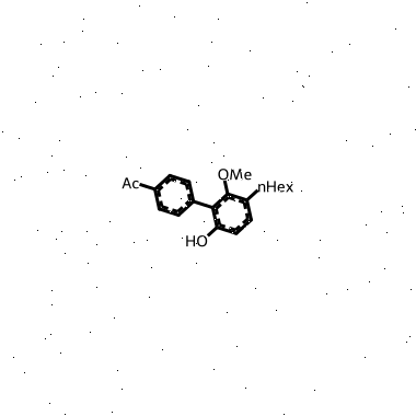 CCCCCCc1ccc(O)c(-c2ccc(C(C)=O)cc2)c1OC